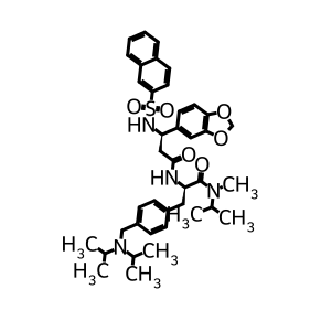 CC(C)N(C)C(=O)[C@@H](Cc1ccc(CN(C(C)C)C(C)C)cc1)NC(=O)C[C@@H](NS(=O)(=O)c1ccc2ccccc2c1)c1ccc2c(c1)OCO2